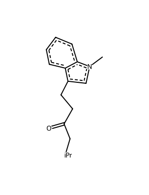 CC(C)CC(=O)CCc1cn(C)c2ccccc12